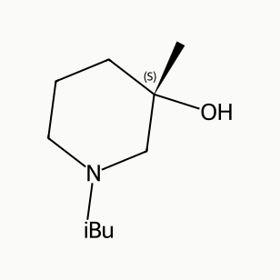 CCC(C)N1CCC[C@](C)(O)C1